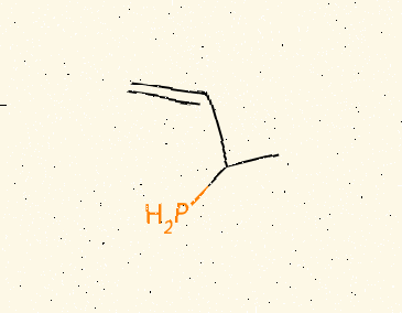 C=CC(C)P